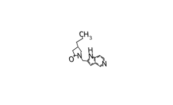 CCCC1CC(=O)N(Cc2cc3cnccc3[nH]2)C1